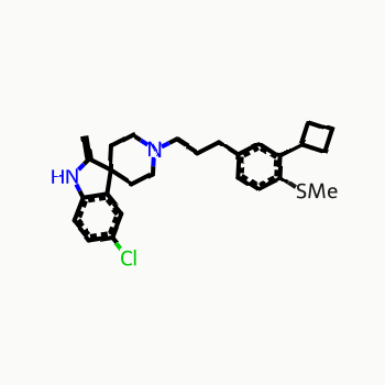 C=C1Nc2ccc(Cl)cc2C12CCN(CCCc1ccc(SC)c(C3CCC3)c1)CC2